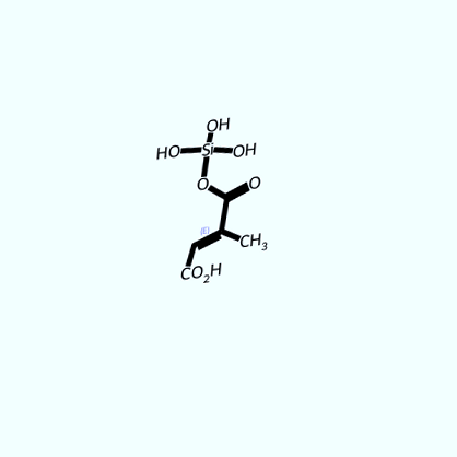 C/C(=C\C(=O)O)C(=O)O[Si](O)(O)O